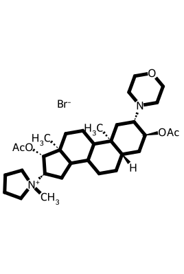 CC(=O)O[C@H]1C[C@@H]2CCC3C4C[C@H]([N+]5(C)CCCC5)[C@H](OC(C)=O)[C@@]4(C)CCC3[C@@]2(C)C[C@@H]1N1CCOCC1.[Br-]